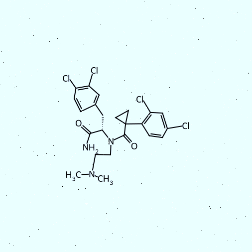 CN(C)CCN(C(=O)C1(c2ccc(Cl)cc2Cl)CC1)[C@@H](Cc1ccc(Cl)c(Cl)c1)C(N)=O